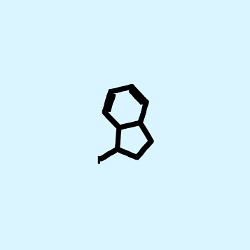 IC1CCC2C=CC=CC12